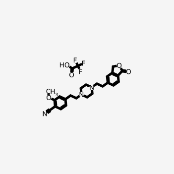 COc1cc(CCN2CCN(CCc3ccc4c(c3)COC4=O)CC2)ccc1C#N.O=C(O)C(F)(F)F